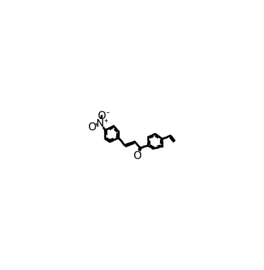 C=Cc1ccc(C(=O)C=Cc2ccc([N+](=O)[O-])cc2)cc1